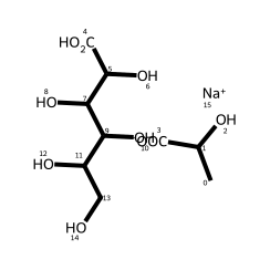 CC(O)C(=O)[O-].O=C(O)C(O)C(O)C(O)C(O)CO.[Na+]